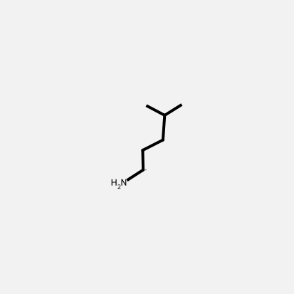 CC(C)CC[CH]N